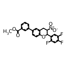 COC(=O)c1cccc(-c2ccc3c(c2)CC([N+](=O)[O-])C(c2cc(F)c(F)cc2F)O3)c1